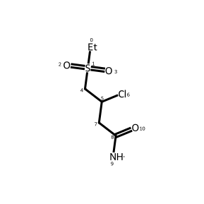 CCS(=O)(=O)CC(Cl)CC([NH])=O